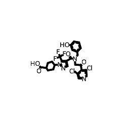 O=C(CN(Cc1cccc(O)c1)C(=O)c1cnn(C2CCC(C(=O)O)CC2)c1C(F)(F)F)c1c(Cl)cncc1Cl